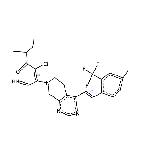 CCC(C)C(=O)/C(Cl)=C(\C=N)N1CCc2c(/C=C/c3ccc(C)cc3C(F)(F)F)ncnc2C1